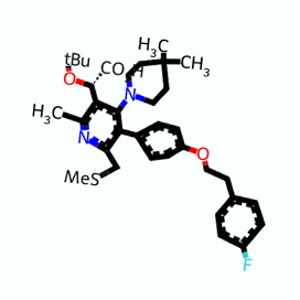 CSCc1nc(C)c([C@H](OC(C)(C)C)C(=O)O)c(N2CCC(C)(C)CC2)c1-c1ccc(OCCc2ccc(F)cc2)cc1